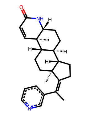 CC(=C1CC[C@H]2[C@@H]3CC[C@H]4NC(=O)C=C[C@]4(C)[C@H]3CC[C@]12C)c1cccnc1